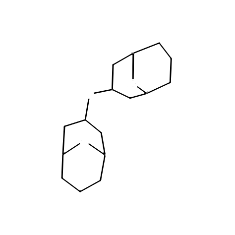 C1CC2CC(OC3CC4CCCC(C3)O4)CC(C1)O2